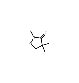 CN1OCC(C)(C)C1=O